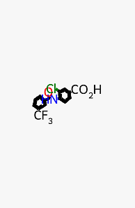 O=C(O)c1ccc(NC(=O)c2cccc(C(F)(F)F)c2)c(Cl)c1